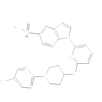 CCc1cnc(N2CCC(Oc3cccc(-n4ccc5cc(S(C)(=O)=O)ccc54)n3)CC2)nc1